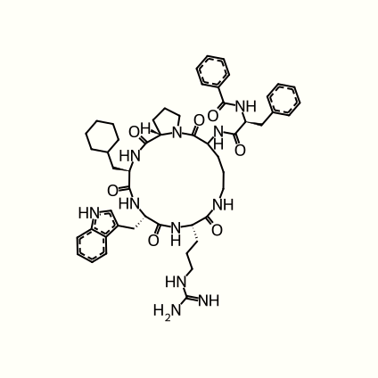 N=C(N)NCCC[C@@H]1NC(=O)[C@H](Cc2c[nH]c3ccccc23)NC(=O)[C@@H](CC2CCCCC2)NC(=O)[C@@H]2CCCN2C(=O)C(NC(=O)[C@H](Cc2ccccc2)NC(=O)c2ccccc2)CCCNC1=O